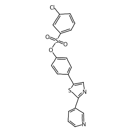 O=S(=O)(Oc1ccc(-c2cnc(-c3cccnc3)s2)cc1)c1cccc(Cl)c1